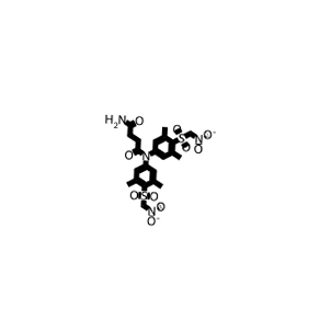 Cc1cc(N(C(=O)CCC(N)=O)c2cc(C)c(S(=O)(=O)C[N+](=O)[O-])c(C)c2)cc(C)c1S(=O)(=O)C[N+](=O)[O-]